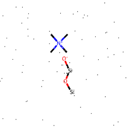 C[N+](C)(C)C.[O-][Si]O[Si]